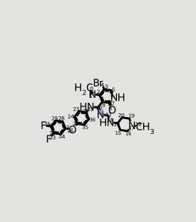 C=Nc1c(Br)c[nH]c(=O)c1/C(=N\CNC1CCN(C)CC1)Nc1ccc(Oc2ccc(F)c(F)c2)cc1